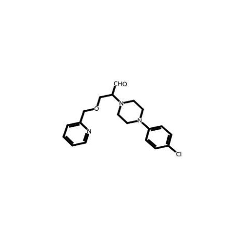 O=CC(COCc1ccccn1)N1CCN(c2ccc(Cl)cc2)CC1